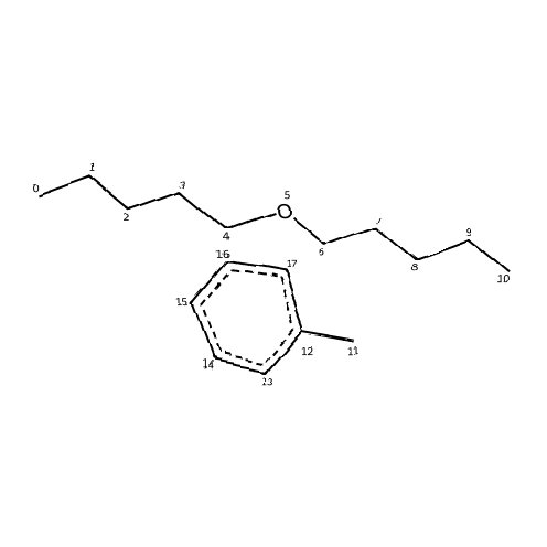 CCCCCOCCCCC.Cc1ccccc1